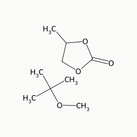 CC1COC(=O)O1.COC(C)(C)C